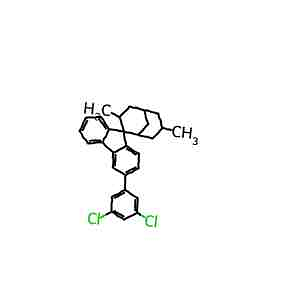 CC1CC2CC(C)C3(c4ccccc4-c4cc(-c5cc(Cl)cc(Cl)c5)ccc43)C(C1)C2